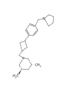 C[C@@H]1C[C@@H](C)CN(CC2CC(c3ccc(CN4CCCC4)cc3)C2)C1